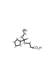 CCC(C)N=NC(C)(SCCC(=O)O)C1CCCC1